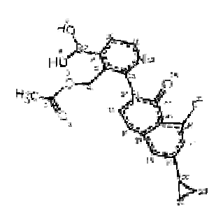 CC(=O)OCc1c(B(O)O)ccnc1-n1ccc2cc(C3CC3)cc(F)c2c1=O